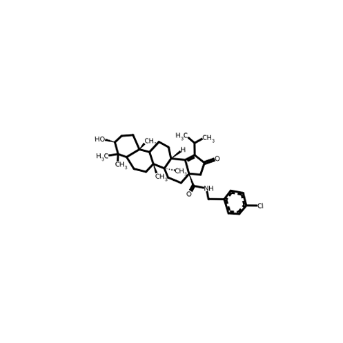 CC(C)C1=C2[C@H]3CCC4[C@@]5(C)CC[C@H](O)C(C)(C)C5CC[C@@]4(C)[C@]3(C)CC[C@@]2(C(=O)NCc2ccc(Cl)cc2)CC1=O